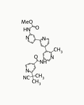 COC(=O)Nc1cc(-c2cc(-c3cc(NC(=O)c4ccnc(C(C)(C)C#N)c4)cnc3C)ccn2)ccn1